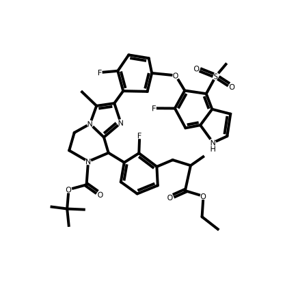 CCOC(=O)C(C)Cc1cccc(C2c3nc(-c4cc(Oc5c(F)cc6[nH]ccc6c5S(C)(=O)=O)ccc4F)c(C)n3CCN2C(=O)OC(C)(C)C)c1F